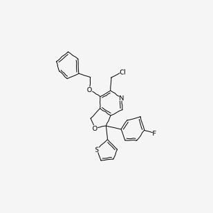 Fc1ccc(C2(c3cccs3)OCc3c2cnc(CCl)c3OCc2ccccc2)cc1